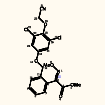 CO/N=C(/C(=O)OC)c1ccccc1COc1cc(Cl)c(OCC#N)c(Cl)c1